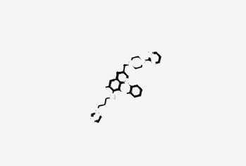 O=C(c1cn2c3c(c(NCCCn4ccnc4)c(F)cc3c1=O)Sc1ccccc1-2)N1CCN(c2ncccn2)CC1